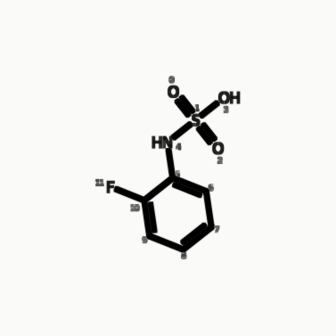 O=S(=O)(O)Nc1ccccc1F